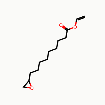 C=COC(=O)CCCCCCCCC1CO1